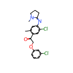 Cc1cc(N=C2CCCN2C)c(Cl)cc1C(=O)COc1cccc(Cl)c1